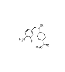 CCN(Cc1ccc(N)c(F)c1)[C@H]1CC[C@@H](C(=O)OC)CC1